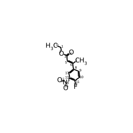 CCOC(=O)C=C(C)c1ccc(F)c([N+](=O)[O-])c1